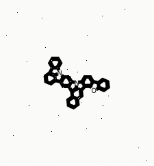 c1ccc2c(c1)cc1c3c4oc5ccccc5c4ccc3n3c4cc5c(cc4c2c13)c1cccc2c3ccccc3n5c21